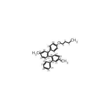 CCCCOc1ccc(-c2cc(C)ccc2-c2ccc(C)cc2-c2ccccc2)cc1